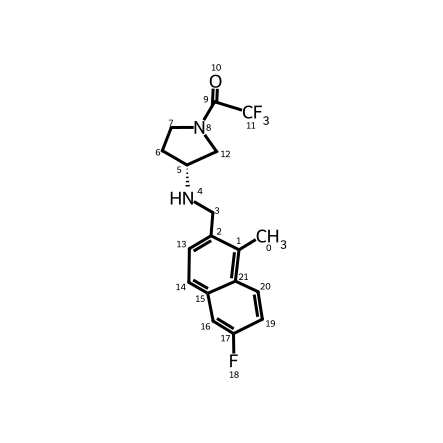 Cc1c(CN[C@@H]2CCN(C(=O)C(F)(F)F)C2)ccc2cc(F)ccc12